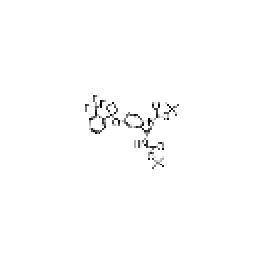 CC(C)(C)OC(=O)Nc1cn(C(=O)OC(C)(C)C)c2ccc(OC3(c4ccccc4C(F)(F)F)CCC3)cc12